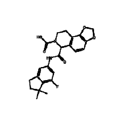 CC1(C)CCc2cc(NC(=O)C3c4ccc5c(c4CCN3C(=O)O)OCO5)cc(F)c21